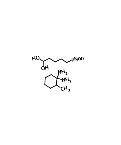 CC1CCCCC1(N)N.CCCCCCCCCCCCCC(O)O